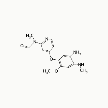 CNc1cc(OC)c(Oc2ccnc(N(C)C=O)c2)cc1N